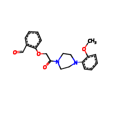 COc1ccccc1N1CCN(C(=O)COc2ccccc2C=O)CC1